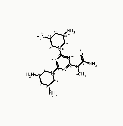 CN(C(N)=O)c1nc(N2C[C@H](N)C[C@H](N)C2)nc(N2C[C@H](N)C[C@H](N)C2)n1